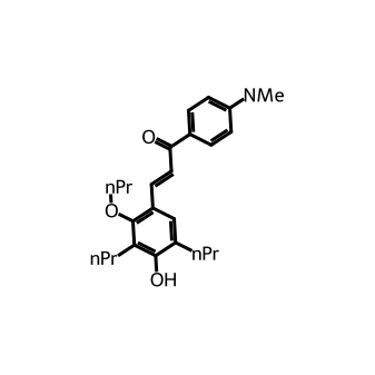 CCCOc1c(C=CC(=O)c2ccc(NC)cc2)cc(CCC)c(O)c1CCC